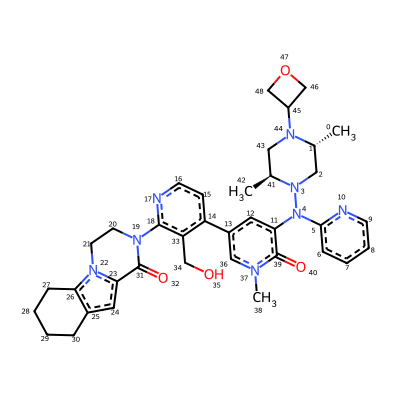 C[C@@H]1CN(N(c2ccccn2)c2cc(-c3ccnc(N4CCn5c(cc6c5CCCC6)C4=O)c3CO)cn(C)c2=O)[C@@H](C)CN1C1COC1